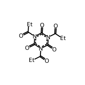 CCC(=O)n1c(=O)n(C(=O)CC)c(=O)n(C(=O)CC)c1=O